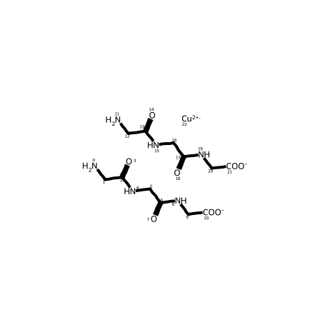 NCC(=O)NCC(=O)NCC(=O)[O-].NCC(=O)NCC(=O)NCC(=O)[O-].[Cu+2]